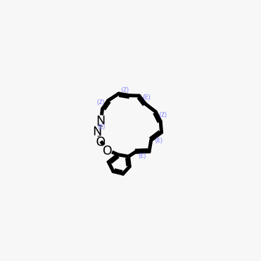 C1=C\C=C\C=C/C=C/C=C/c2ccccc2OO\N=N\C=C/1